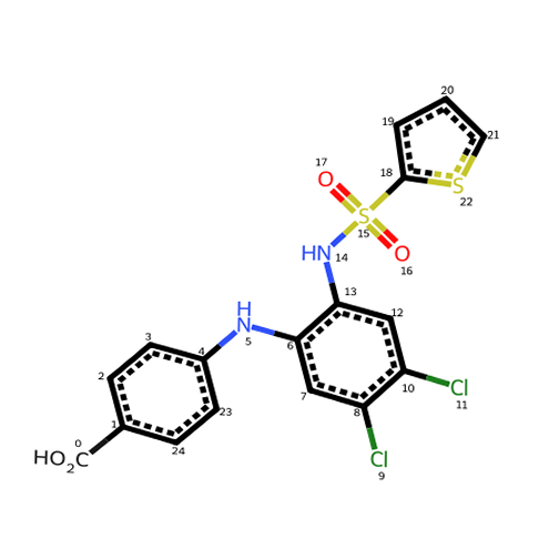 O=C(O)c1ccc(Nc2cc(Cl)c(Cl)cc2NS(=O)(=O)c2cccs2)cc1